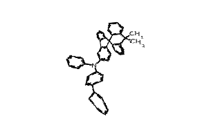 CC1(C)c2ccccc2C2(c3ccccc3-c3cc(N(c4ccccc4)c4ccc(-c5ccccc5)cc4)ccc32)c2ccccc21